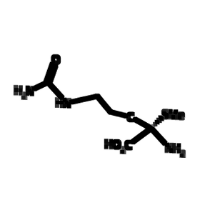 CS[C@@](N)(CCCNC(N)=O)C(=O)O